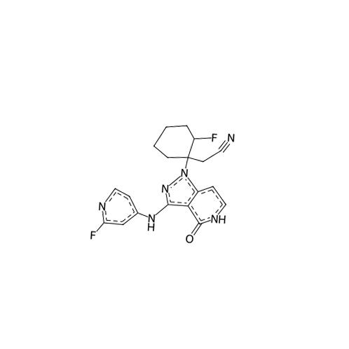 N#CCC1(n2nc(Nc3ccnc(F)c3)c3c(=O)[nH]ccc32)CCCCC1F